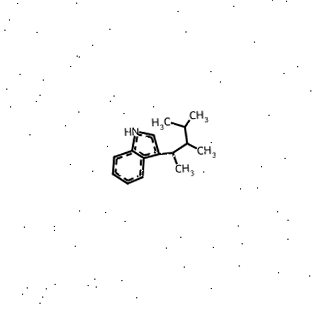 CC(C)C(C)C(C)c1c[nH]c2ccccc12